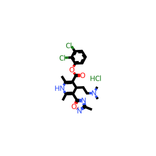 CC1=C(C(=O)Oc2cccc(Cl)c2Cl)C(CCN(C)C)C(c2nc(C)no2)=C(C)N1.Cl